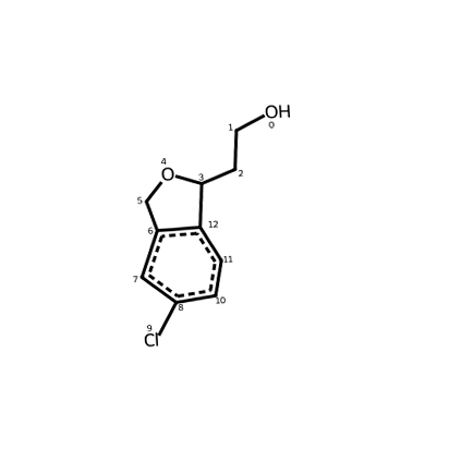 OCCC1OCc2cc(Cl)ccc21